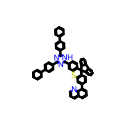 c1ccc(-c2ccc(C3=NC(c4ccc5c(c4)Sc4cc(-c6cccc7cccnc67)ccc4C54c5ccccc5-c5ccccc54)NC(c4ccc(-c5ccccc5)cc4)=N3)cc2)cc1